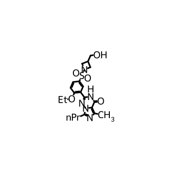 CCCc1nc(C)c2c(=O)[nH]c(-c3cc(S(=O)(=O)N4CC(CO)C4)ccc3OCC)nn12